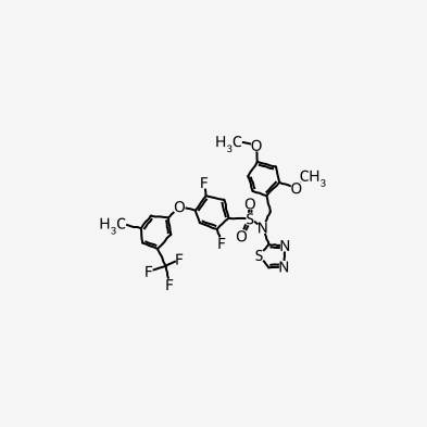 COc1ccc(CN(c2nncs2)S(=O)(=O)c2cc(F)c(Oc3cc(C)cc(C(F)(F)F)c3)cc2F)c(OC)c1